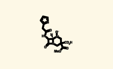 COC(=O)C1(C(=O)O)CN2C(=O)C(NC(=O)Cc3cccs3)[C@H]2[S+]([O-])C1